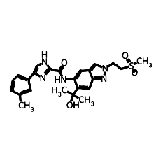 Cc1cccc(-c2c[nH]c(C(=O)Nc3cc4cn(CCS(C)(=O)=O)nc4cc3C(C)(C)O)n2)c1